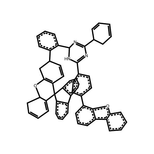 C1=CCC(C2=NC(c3ccccc3C3C=CC4=C(C3)OC3CC=CC=C3C43c4ccccc4-c4ccccc43)NC(c3ccc(-c4cccc5c4oc4ccccc45)cc3)=N2)C=C1